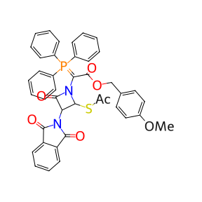 COc1ccc(COC(=O)C(N2C(=O)C(N3C(=O)c4ccccc4C3=O)C2SC(C)=O)=P(c2ccccc2)(c2ccccc2)c2ccccc2)cc1